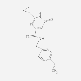 O=C(NCc1ccc(CC(F)(F)F)cc1)c1cc(=O)[nH]c(C2CC2)n1